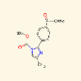 COC(=O)c1ccc(-c2nc(C)cn2C(=O)OC(C)(C)C)cc1